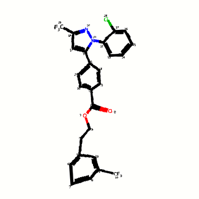 O=C(OCCc1cccc(C(F)(F)F)c1)c1ccc(-c2cc(C(F)(F)F)nn2-c2ccccc2Cl)cc1